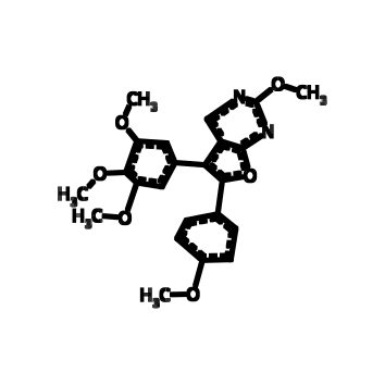 COc1ccc(-c2oc3nc(OC)ncc3c2-c2cc(OC)c(OC)c(OC)c2)cc1